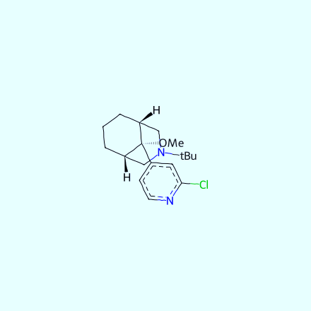 CO[C@@]1(c2ccnc(Cl)c2)[C@@H]2CCC[C@H]1CN(C(C)(C)C)C2